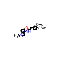 COc1ccc(/C=C/C(=O)Nc2cccc3c2ccn3C)cc1OC(C)=O